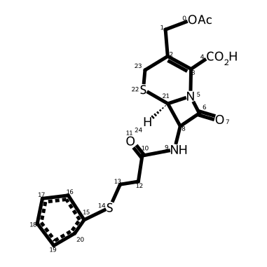 CC(=O)OCC1=C(C(=O)O)N2C(=O)C(NC(=O)CCSc3ccccc3)[C@H]2SC1